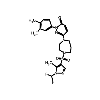 Cc1ccc(-n2nc(N3CCCN(S(=O)(=O)c4cnn(C(F)F)c4C)CC3)ccc2=O)cc1C